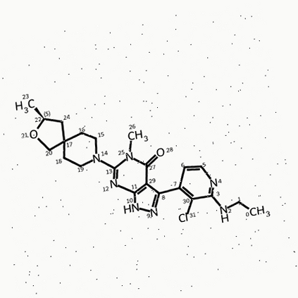 CCNc1nccc(-c2n[nH]c3nc(N4CCC5(CC4)CO[C@@H](C)C5)n(C)c(=O)c23)c1Cl